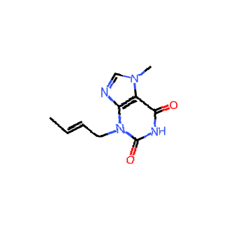 CC=CCn1c(=O)[nH]c(=O)c2c1ncn2C